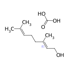 CC(C)=CCC/C(C)=C/CO.O=C(O)O